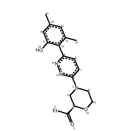 CCC(=O)[C@H]1CN(c2ccc(-c3c(C)cc(C)cc3O)nn2)CCO1